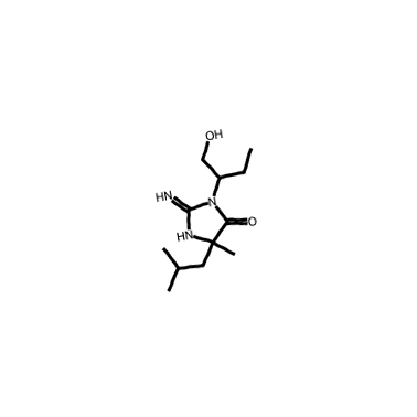 CCC(CO)N1C(=N)NC(C)(CC(C)C)C1=O